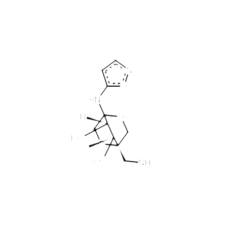 NC[C@@]12COC(Nc3ccno3)(CO1)[C@@H](O)[C@H]2O